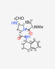 CN[C@H](C(=O)N1C[C@@H](NC=O)C[C@H]1C(=O)N[C@@H]1CCCc2ccccc21)C(C)(C)C